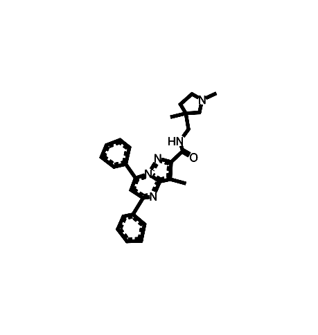 Cc1c(C(=O)NCC2(C)CCN(C)C2)nn2c(-c3ccccc3)cc(-c3ccccc3)nc12